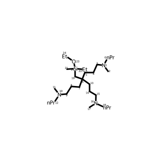 CCCN(C)CCCC(CCCN(C)CCC)(CCCN(C)CCC)C[Si](C)(CC)OCC